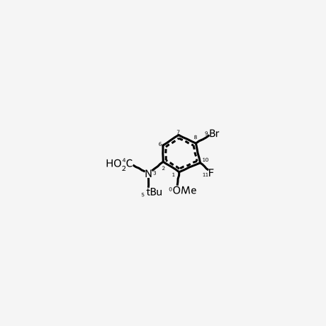 COc1c(N(C(=O)O)C(C)(C)C)ccc(Br)c1F